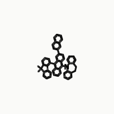 CC1(C)c2ccccc2-c2c(-c3c4ccccc4c(N4c5ccccc5CCc5ccccc54)c4ccc(-c5ccc6ccccc6c5)cc34)cccc21